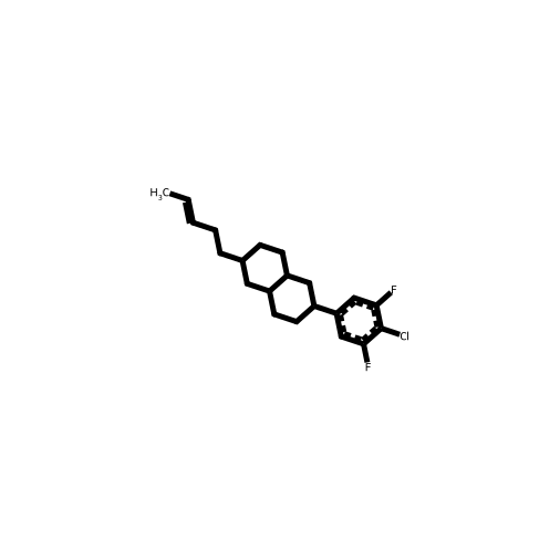 CC=CCCC1CCC2CC(c3cc(F)c(Cl)c(F)c3)CCC2C1